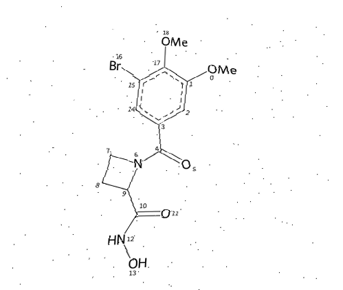 COc1cc(C(=O)N2CCC2C(=O)NO)cc(Br)c1OC